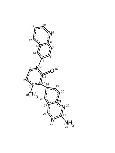 Cc1ccn(-c2ccc3ncccc3c2)c(=O)c1-c1ccc2nc(N)ncc2c1